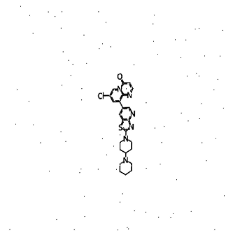 O=c1ccnc2c(-c3cnc4nc(N5CCC(N6CCCCC6)CC5)sc4c3)cc(Cl)cn12